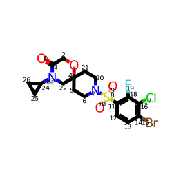 O=C1COC2(CCN(S(=O)(=O)c3ccc(Br)c(Cl)c3F)CC2)CN1C1CC1